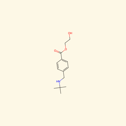 CC(C)(C)NCc1ccc(C(=O)OCCO)cc1